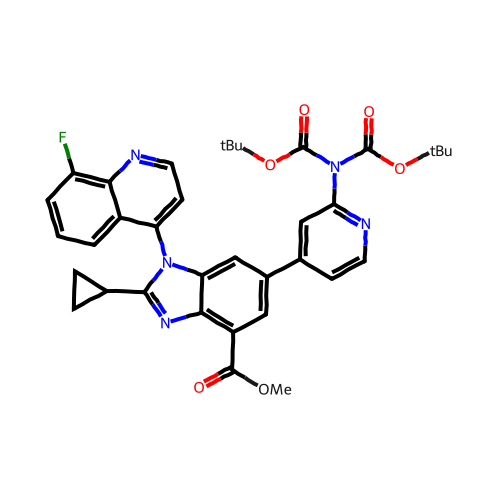 COC(=O)c1cc(-c2ccnc(N(C(=O)OC(C)(C)C)C(=O)OC(C)(C)C)c2)cc2c1nc(C1CC1)n2-c1ccnc2c(F)cccc12